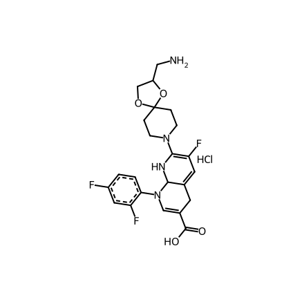 Cl.NCC1COC2(CCN(C3=C(F)C=C4CC(C(=O)O)=CN(c5ccc(F)cc5F)C4N3)CC2)O1